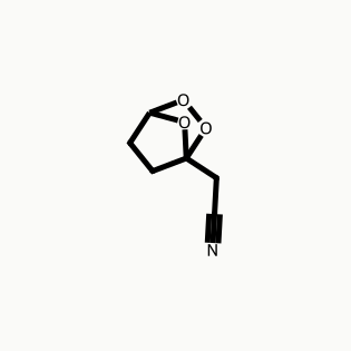 N#CCC12CCC(OO1)O2